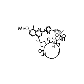 COc1ccc2c(OC3CC4C(=O)NC5(C(=O)NS(=O)(=O)N(C)C)CC5/C=C\CCCCN(C)C(=O)C4C3)cc(-n3ccc(C(C)C)n3)nc2c1C